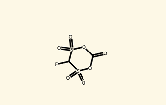 O=C1OS(=O)(=O)C(F)S(=O)(=O)O1